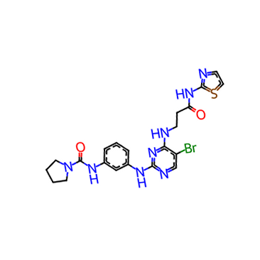 O=C(CCNc1nc(Nc2cccc(NC(=O)N3CCCC3)c2)ncc1Br)Nc1nccs1